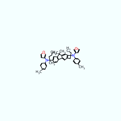 CCCC(C)(c1ccc2c(c1)C(C)(C)c1cc3c(cc1-2)CC3(CC)N(c1ccc(C)cc1)c1ccoc1)N(c1ccc(C)cc1)c1ccoc1